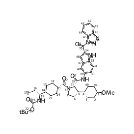 CO[C@H]1CC[C@H]([C@@H]2CCN(C(=O)[C@H]3CC[C@H]([C@@H](CF)NC(=O)OC(C)(C)C)CC3)[C@@H]2C(=O)Nc2ccc3[nH]c(C(=O)n4nnc5ccccc54)cc3c2)CC1